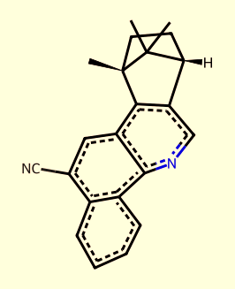 CC1(C)[C@@H]2CC[C@@]1(C)c1c2cnc2c1cc(C#N)c1ccccc12